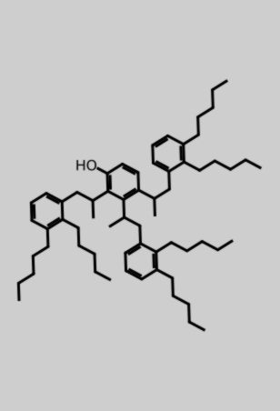 CCCCCc1cccc(CC(C)c2ccc(O)c(C(C)Cc3cccc(CCCCC)c3CCCCC)c2C(C)Cc2cccc(CCCCC)c2CCCCC)c1CCCCC